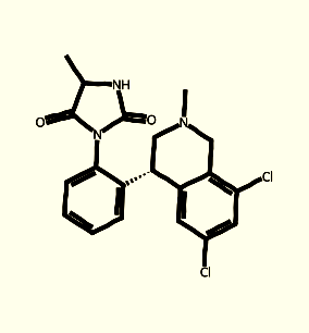 CC1NC(=O)N(c2ccccc2[C@@H]2CN(C)Cc3c(Cl)cc(Cl)cc32)C1=O